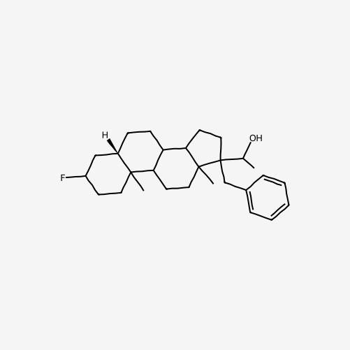 CC(O)C1(Cc2ccccc2)CCC2C3CC[C@H]4CC(F)CCC4(C)C3CCC21C